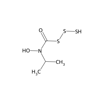 CC(C)N(O)C(=O)SSS